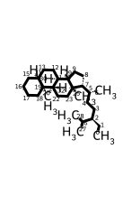 CC[C@H](CC[C@@H](C)[C@H]1CC[C@H]2[C@@H]3CC[C@H]4C[CH]CC[C@]4(C)[C@H]3CC[C@]12C)C(C)C